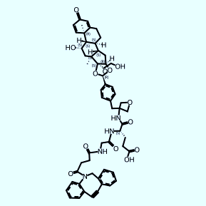 C[C@]12C=CC(=O)C=C1CC[C@@H]1[C@@H]2[C@@H](O)C[C@@]2(C)[C@H]1C[C@H]1O[C@@H](c3ccc(CC4(NC(=O)[C@H](CCC(=O)O)NC(=O)CNC(=O)CCC(=O)N5Cc6ccccc6C#Cc6ccccc65)COC4)cc3)O[C@]12C(=O)CO